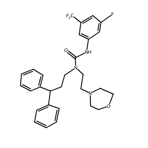 O=C(Nc1cc(F)cc(C(F)(F)F)c1)N(CCC(c1ccccc1)c1ccccc1)CCN1CCOCC1